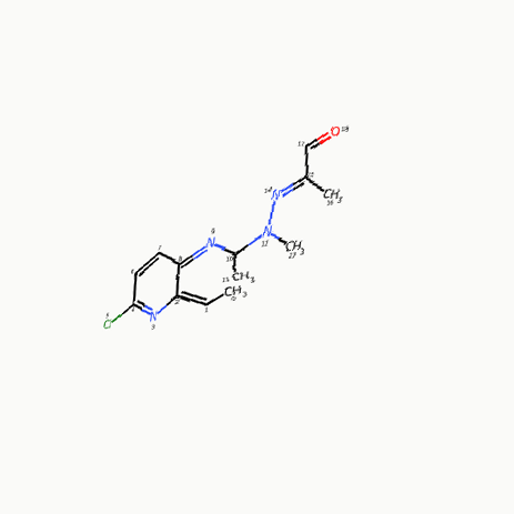 C/C=C1/N=C(Cl)C=C/C1=N/C(C)N(C)/N=C(\C)C=O